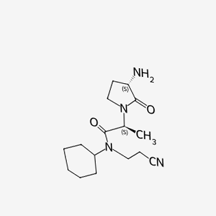 C[C@@H](C(=O)N(CCC#N)C1CCCCC1)N1CC[C@H](N)C1=O